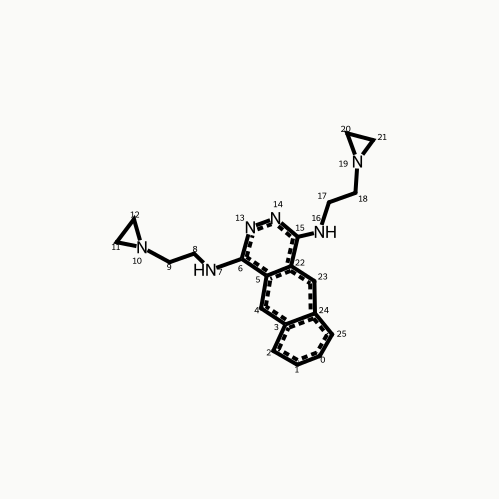 c1ccc2cc3c(NCCN4CC4)nnc(NCCN4CC4)c3cc2c1